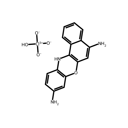 Nc1ccc2c(c1)Oc1cc(N)c3ccccc3c1N2.[O-][Cl+3]([O-])([O-])O